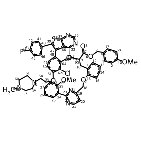 COc1ccc(COC(=O)[C@@H](Cc2ccccc2OCc2ccnc(-c3ccccc3OC)n2)Oc2ncnc3sc(-c4ccc(F)cc4)c(-c4ccc(OCCN5CCN(C)CC5)c(Cl)c4C)c23)cc1